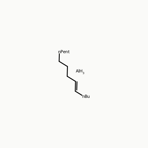 CCCCC=CCCCCCCCC.[AlH3]